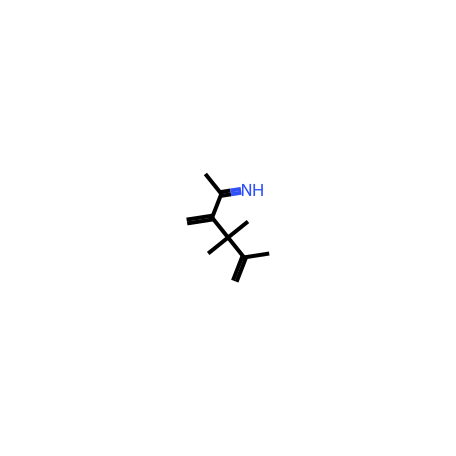 C=C(C)C(C)(C)C(=C)C(C)=N